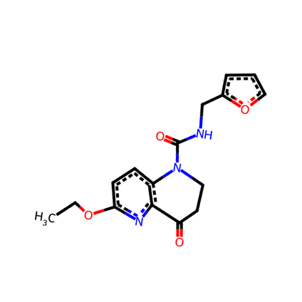 CCOc1ccc2c(n1)C(=O)CCN2C(=O)NCc1ccco1